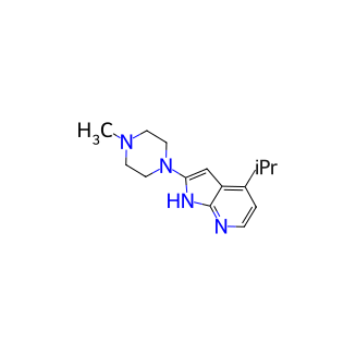 CC(C)c1ccnc2[nH]c(N3CCN(C)CC3)cc12